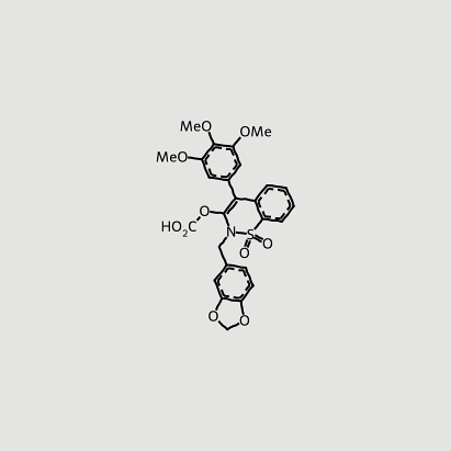 COc1cc(C2=C(OC(=O)O)N(Cc3ccc4c(c3)OCO4)S(=O)(=O)c3ccccc32)cc(OC)c1OC